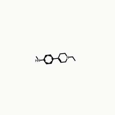 CCN1CC=C(c2ccc(NC)cc2)CC1